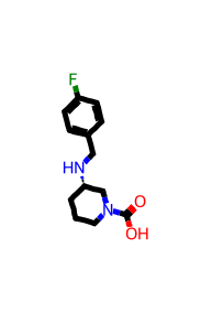 O=C(O)N1CCC[C@H](NCc2ccc(F)cc2)C1